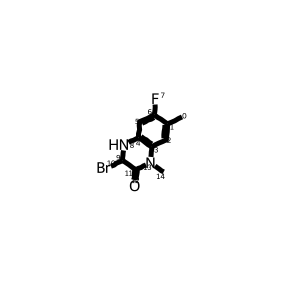 Cc1cc2c(cc1F)NC(Br)C(=O)N2C